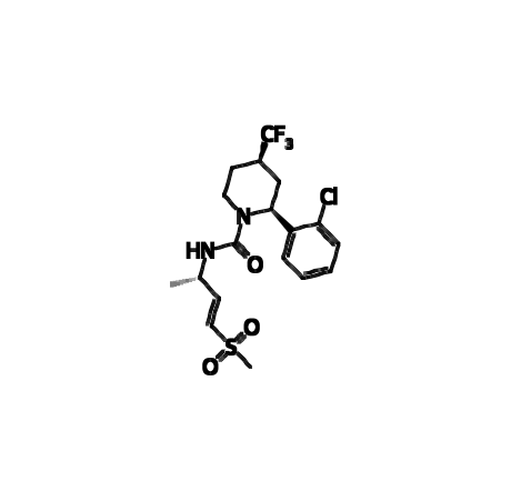 C[C@@H](/C=C/S(C)(=O)=O)NC(=O)N1CC[C@@H](C(F)(F)F)C[C@H]1c1ccccc1Cl